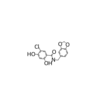 CN(Cc1ccc2c(c1)OCO2)C(=O)c1cc(Cl)c(O)cc1O